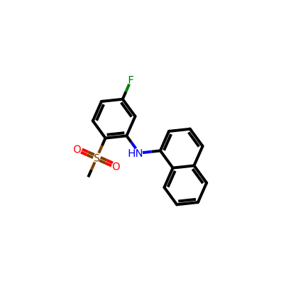 CS(=O)(=O)c1ccc(F)cc1Nc1cccc2ccccc12